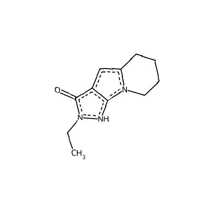 CCn1[nH]c2c(cc3n2CCCC3)c1=O